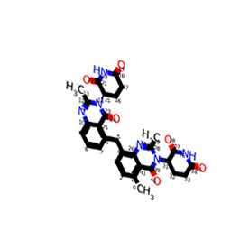 Cc1ccc(Cc2cccc3nc(C)n([C@H]4CCC(=O)NC4=O)c(=O)c23)c2nc(C)n(C3CCC(=O)NC3=O)c(=O)c12